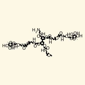 CCOC(C)(C)CCNC(=O)COc1cc(OCC(=O)NCCC(C)(C)OCC(C)(C)C(=O)NCCOCCO[C@@H]2O[C@@H](C)[C@H](O)[C@@H](O)[C@H]2O)cc(-c2cc(OCC(=O)NCCC(C)(C)OCC(C)(C)C(=O)NCCOCCO[C@@H]3O[C@@H](C)[C@H](O)[C@@H](O)[C@H]3O)cc(C(=O)NCCN)c2)c1